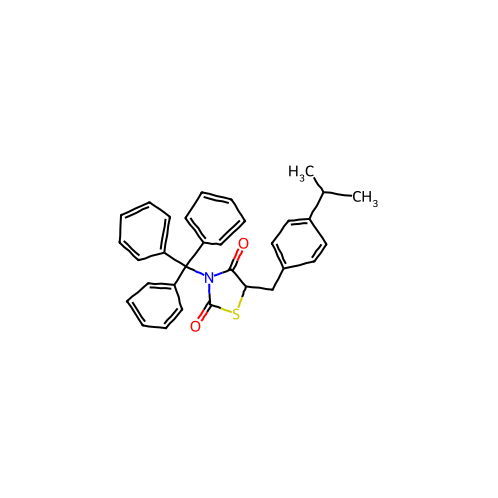 CC(C)c1ccc(CC2SC(=O)N(C(c3ccccc3)(c3ccccc3)c3ccccc3)C2=O)cc1